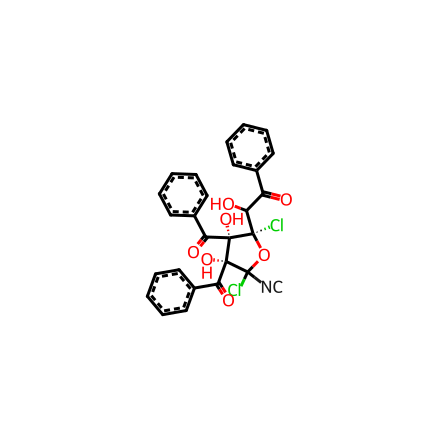 [C-]#[N+]C1(Cl)O[C@](Cl)(C(O)C(=O)c2ccccc2)[C@](O)(C(=O)c2ccccc2)[C@]1(O)C(=O)c1ccccc1